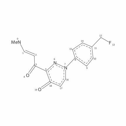 CNC=CC(=O)c1nn(-c2ccc(CF)cc2)ccc1=O